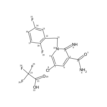 N=c1c(C(N)=O)cc(Cl)cn1Cc1cc(F)ccc1F.O=C(O)C(F)(F)F